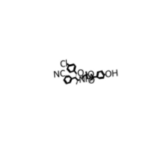 C[C@H](NC(=O)C(C)(C)OC(=O)c1ccc(O)cc1)[C@@H](Cc1ccc(Cl)cc1)c1cccc(C#N)c1